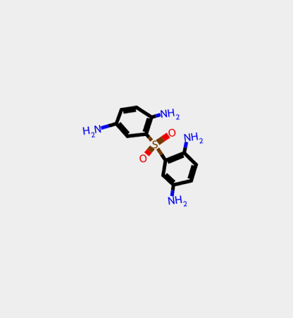 Nc1ccc(N)c(S(=O)(=O)c2cc(N)ccc2N)c1